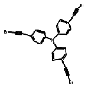 BrC#Cc1ccc(N(c2ccc(C#CBr)cc2)c2ccc(C#CBr)cc2)cc1